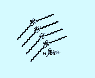 CCCCCCCCCCCCOP([O-])(=S)SCCCCCCCCCCCC.CCCCCCCCCCCCOP([O-])(=S)SCCCCCCCCCCCC.CCCCCCCCCCCCOP([O-])(=S)SCCCCCCCCCCCC.CCCCCCCCCCCCOP([O-])(=S)SCCCCCCCCCCCC.NC(=O)O.[Mo+4]